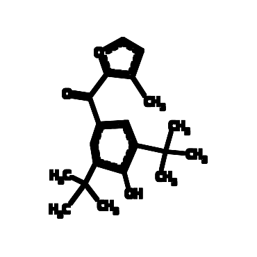 Cc1ccoc1C(=O)c1cc(C(C)(C)C)c(O)c(C(C)(C)C)c1